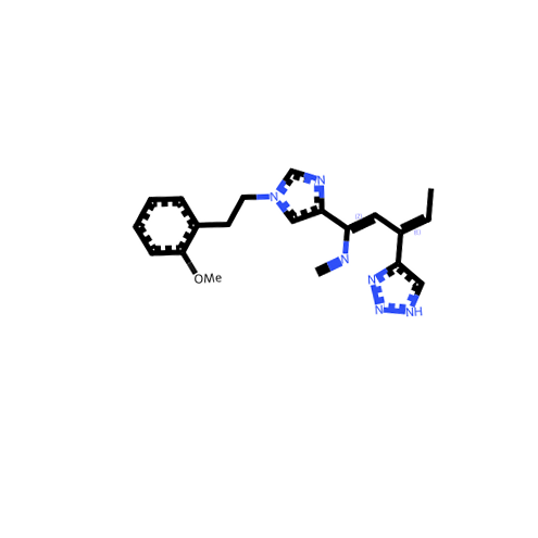 C=N/C(=C\C(=C/C)c1c[nH]nn1)c1cn(CCc2ccccc2OC)cn1